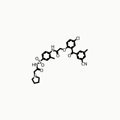 Cc1cc(C#N)cc(C(=O)c2cc(Cl)ccc2OCC(=O)Nc2ccc(S(=O)(=O)NC(=O)CN3CCCC3)cc2C)c1